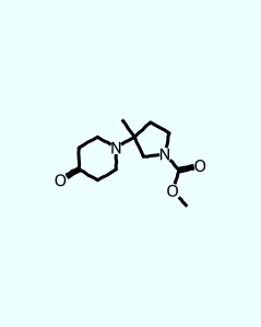 COC(=O)N1CCC(C)(N2CCC(=O)CC2)C1